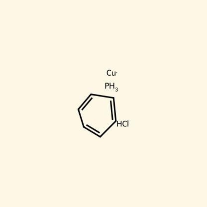 Cl.P.[Cu].c1ccccc1